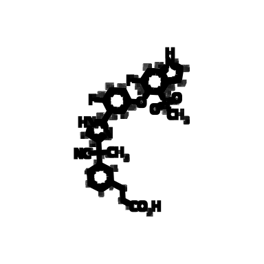 CC(C#N)(c1cccc(CCC(=O)O)c1)c1c[nH]c(-c2cc(Oc3c(F)cc4[nH]ccc4c3S(C)(=O)=O)ccc2F)n1